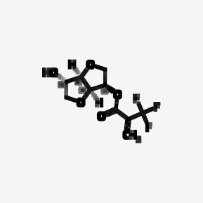 C=C(C(=O)O[C@@H]1CO[C@H]2[C@@H]1OC[C@@H]2O)C(F)(F)F